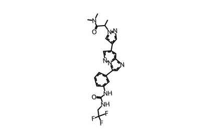 CC(C(=O)N(C)C)n1cc(-c2cnn3c(-c4cccc(NC(=O)NCC(F)(F)F)c4)cnc3c2)cn1